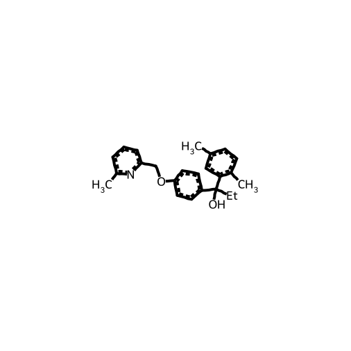 CCC(O)(c1ccc(OCc2cccc(C)n2)cc1)c1cc(C)ccc1C